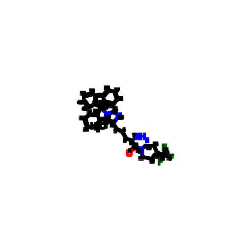 Cc1c(CCC[C@H](N)C(=O)N2CCC(C(F)(F)F)CC2)ncn1C(c1ccccc1)(c1ccccc1)c1ccccc1